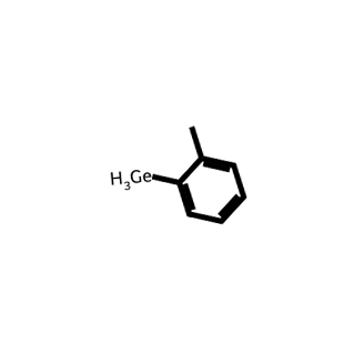 Cc1cccc[c]1[GeH3]